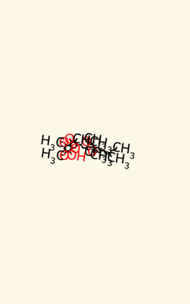 CCCC(C)C=C/C=C/C(OC)C(C)C(OC)C(C)CCc1oc2c(O)c(OC)cc(OC)c2c(=O)c1C